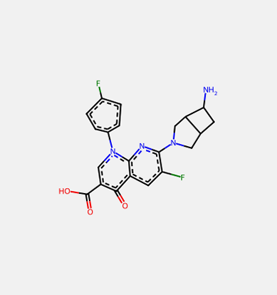 NC1CC2CN(c3nc4c(cc3F)c(=O)c(C(=O)O)cn4-c3ccc(F)cc3)CC12